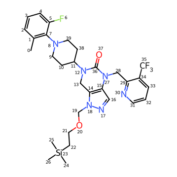 Cc1cccc(F)c1N1CCC(N2Cc3c(cnn3COCC[Si](C)(C)C)N(Cc3ncccc3C(F)(F)F)C2=O)CC1